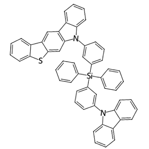 c1ccc([Si](c2ccccc2)(c2cccc(-n3c4ccccc4c4ccccc43)c2)c2cccc(-n3c4ccccc4c4cc5c(cc43)sc3ccccc35)c2)cc1